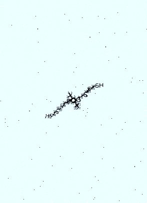 CC(C)(C)c1cc(OCCCSCCSCCS)c(C(C)(C)C)cc1OCCCSCCSCCS